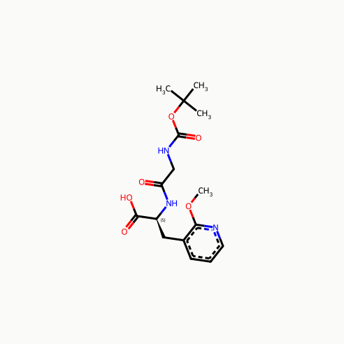 COc1ncccc1C[C@H](NC(=O)CNC(=O)OC(C)(C)C)C(=O)O